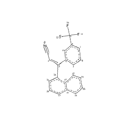 N#CC=C(c1cccc(C(F)(F)F)c1)c1cccc2ccccc12